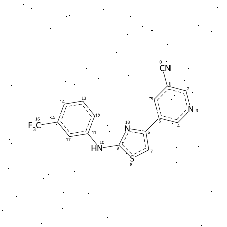 N#Cc1cncc(-c2csc(Nc3cccc(C(F)(F)F)c3)n2)c1